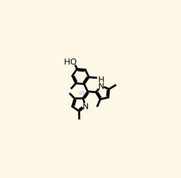 CC1=CC(C)=N/C1=C(\c1[nH]c(C)cc1C)c1c(C)cc(O)cc1C